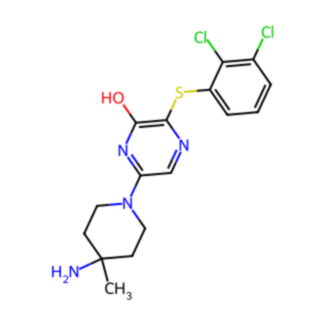 CC1(N)CCN(c2cnc(Sc3cccc(Cl)c3Cl)c(O)n2)CC1